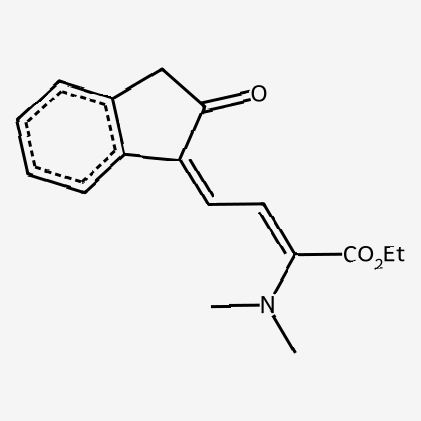 CCOC(=O)C(=CC=C1C(=O)Cc2ccccc21)N(C)C